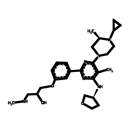 CNCC(O)COc1cccc(-c2nc(N[C@@H]3CCOC3)c(C)c(N3CCN(C4CC4)[C@H](C)C3)n2)c1